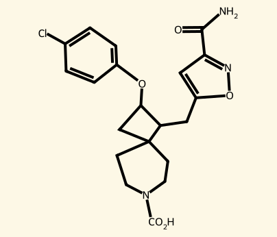 NC(=O)c1cc(CC2C(Oc3ccc(Cl)cc3)CC23CCN(C(=O)O)CC3)on1